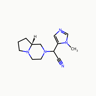 Cn1cncc1C(C#N)N1CCN2CCC[C@@H]2C1